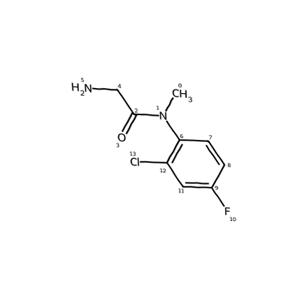 CN(C(=O)CN)c1ccc(F)cc1Cl